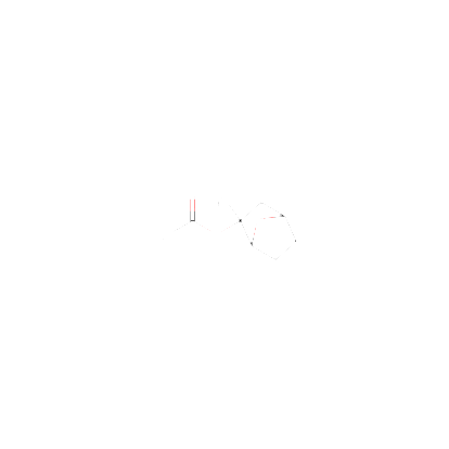 CC(=O)OC1(C)CC2CCC1O2